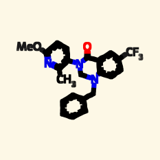 COc1ccc(N2CN(Cc3ccccc3)c3ccc(C(F)(F)F)cc3C2=O)c(C)n1